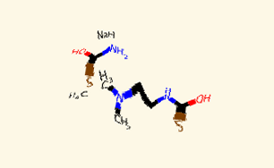 C.CN(C)CCNC(O)=S.NC(O)=S.[NaH]